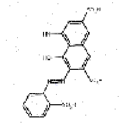 [NH]c1cc(S(=O)(=O)O)cc2cc(S(=O)(=O)O)c(/N=N/c3ccccc3S(=O)(=O)O)c(O)c12